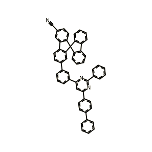 N#Cc1ccc2c(c1)-c1ccc(-c3cccc(-c4cc(-c5ccc(-c6ccccc6)cc5)nc(-c5ccccc5)n4)c3)cc1C21c2ccccc2-c2ccccc21